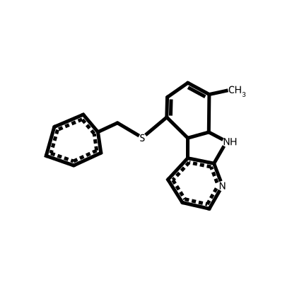 CC1=CC=C(SCc2ccccc2)C2c3cccnc3NC12